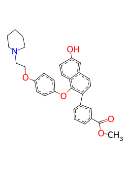 COC(=O)c1cccc(-c2ccc3cc(O)ccc3c2Oc2ccc(OCCN3CCCCC3)cc2)c1